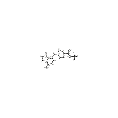 CC(C)(C)OC(=O)N1CCC(Oc2ccc(Br)c3cc[nH]c23)CC1